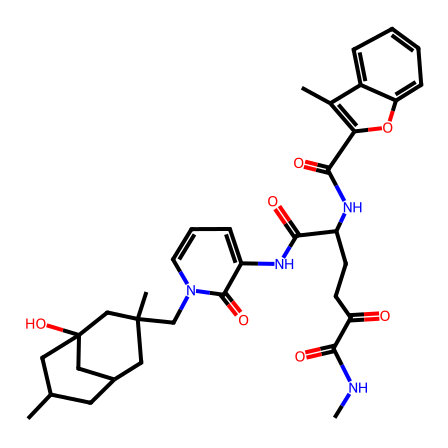 CNC(=O)C(=O)CCC(NC(=O)c1oc2ccccc2c1C)C(=O)Nc1cccn(CC2(C)CC3CC(C)CC(O)(C3)C2)c1=O